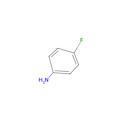 Nc1c[c]c(F)cc1